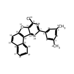 Cc1cc(C)cc(-c2nc(Cl)c3oc4ccc5ccccc5c4c3n2)c1